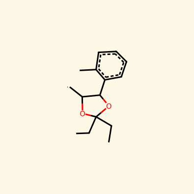 [CH2]C1OC(CC)(CC)OC1c1ccccc1C